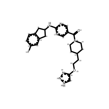 O=C(c1cnc(NC2Cc3ccc(F)cc3C2)nc1)N1CCC(CCOc2c[nH]nn2)CC1